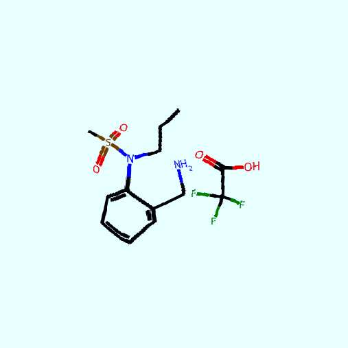 CCCN(c1ccccc1CN)S(C)(=O)=O.O=C(O)C(F)(F)F